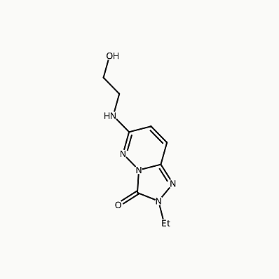 CCn1nc2ccc(NCCO)nn2c1=O